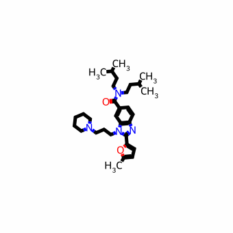 Cc1ccc(-c2nc3ccc(C(=O)N(CCC(C)C)CCC(C)C)cc3n2CCCN2CCCCC2)o1